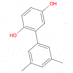 Cc1cc(C)cc(-c2cc(O)ccc2O)c1